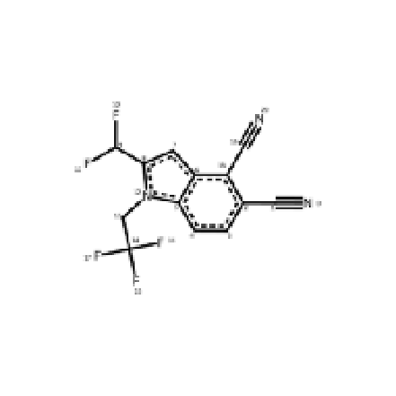 N#Cc1ccc2c(cc(C(F)F)n2CC(F)(F)F)c1C#N